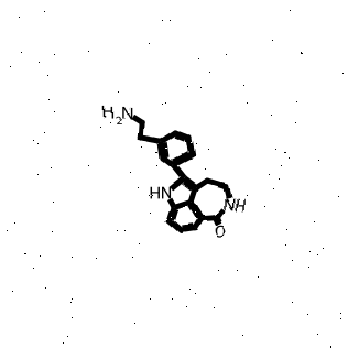 NCCc1cccc(-c2[nH]c3cccc4c3c2CCNC4=O)c1